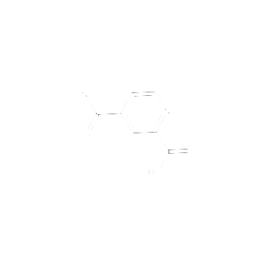 NC(=O)c1ccnc(C(=O)O)c1